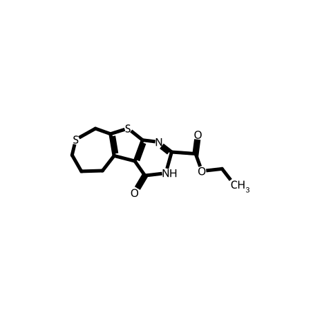 CCOC(=O)c1nc2sc3c(c2c(=O)[nH]1)CCCSC3